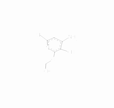 CCOc1nc(Cl)cc(N)c1C